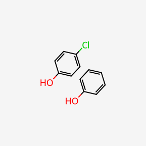 Oc1ccc(Cl)cc1.Oc1ccccc1